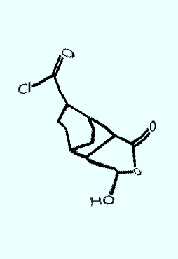 O=C(Cl)C1CC2CC1C1C(=O)OC(O)C21